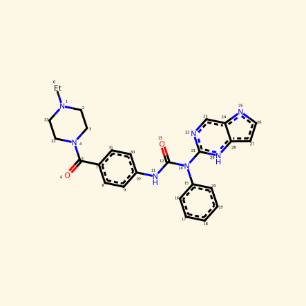 CCN1CCN(C(=O)c2ccc(NC(=O)N(c3ccccc3)c3ncc4nccc-4[nH]3)cc2)CC1